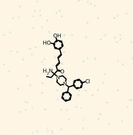 CCC(N)(C(=O)C=CC=Cc1ccc(O)c(O)c1)N1CCN(C(c2ccccc2)c2ccc(Cl)cc2)CC1